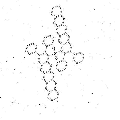 O=S(=O)(c1c(-c2ccccc2)c(-c2ccccc2)cc2cc3cc4cc5ccccc5cc4cc3cc12)c1c(-c2ccccc2)c(-c2ccccc2)cc2cc3cc4cc5ccccc5cc4cc3cc12